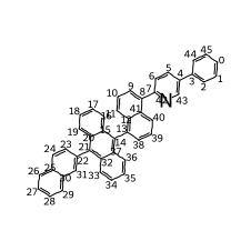 c1ccc(-c2ccc(-c3cccc4c(-c5c6ccccc6c(-c6ccc7ccccc7c6)c6ccccc56)cccc34)nc2)cc1